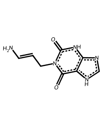 NC=CCn1c(=O)[nH]c2nc[nH]c2c1=O